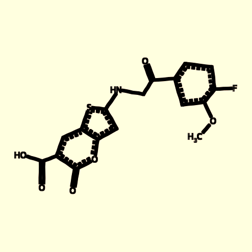 COc1cc(C(=O)CNc2cc3oc(=O)c(C(=O)O)cc3s2)ccc1F